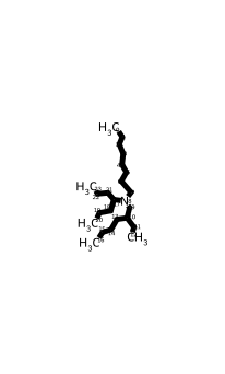 CCCCCCCCN(CC(CC)CCCC)C(CCC)CCC